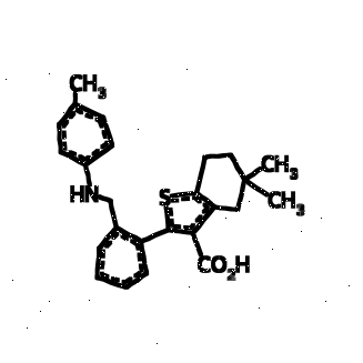 Cc1ccc(NCc2ccccc2-c2sc3c(c2C(=O)O)CC(C)(C)CC3)cc1